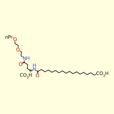 CCCOCCOCCNC(=O)CC[C@H](NC(=O)CCCCCCCCCCCCCCCCC(=O)O)C(=O)O